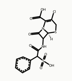 O=C(O)C1=C(Cl)CS[C@H]2C(NC(=O)C(c3ccccc3)S(=O)(=O)O)C(=O)N12